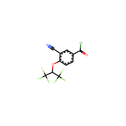 N#Cc1cc(C(=O)Cl)ccc1OC(C(F)(F)F)C(F)(F)F